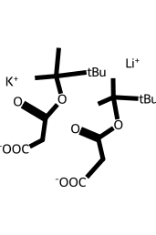 CC(C)(C)C(C)(C)OC(=O)CC(=O)[O-].CC(C)(C)C(C)(C)OC(=O)CC(=O)[O-].[K+].[Li+]